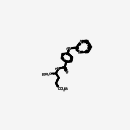 CCOC(=O)CCC(NC(=O)c1ccc(Nc2ncccn2)cc1)C(=O)OCC